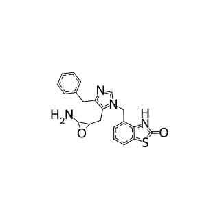 NC1OC1Cc1c(Cc2ccccc2)ncn1Cc1cccc2sc(=O)[nH]c12